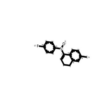 [O-][S+](C1=CCCc2cc(I)ccc21)c1ccc(F)cc1